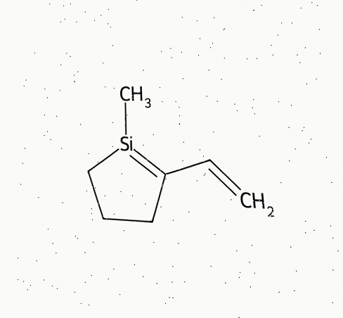 C=CC1=[Si](C)CCC1